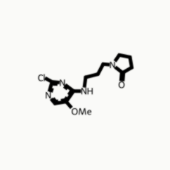 COc1cnc(Cl)nc1NCCCN1CCCC1=O